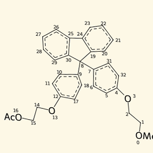 COCCOc1ccc(C2(c3ccc(OCCOC(C)=O)cc3)c3ccccc3-c3ccccc32)cc1